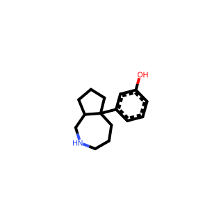 Oc1cccc(C23CCCNCC2CCC3)c1